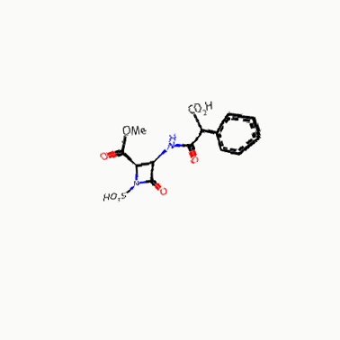 COC(=O)[C@H]1[C@@H](NC(=O)C(C(=O)O)c2ccccc2)C(=O)N1S(=O)(=O)O